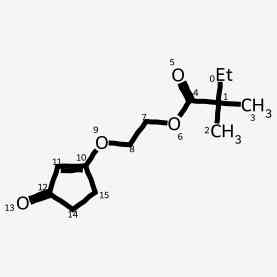 CCC(C)(C)C(=O)OCCOC1=CC(=O)CC1